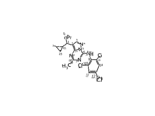 CCCC(c1cnn2c(Nc3c(Cl)cc(Cl)cc3Cl)nc(C)nc12)C1CC1